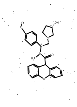 CCOc1ccc([C@@H](CN2CC[C@H](O)C2)N(C)C(=O)C2c3ccccc3Oc3ccccc32)cc1